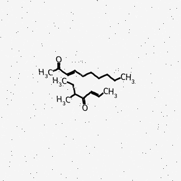 CC=CC(=O)C(C)CC.CCCCCCC=CC(C)=O